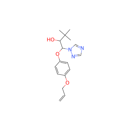 C=CCOc1ccc(OC(C(O)C(C)(C)C)n2cncn2)cc1